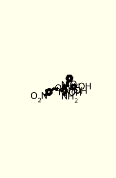 Nc1nc(OCCc2ccc([N+](=O)[O-])cc2)c2nc(-c3ccccc3)n([C@@H]3O[C@H](CO)[C@@H](O)[C@H]3O)c2n1